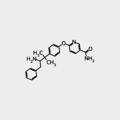 CC(C)(c1ccc(Oc2ccc(C(N)=O)cn2)cc1)C(N)Cc1ccccc1